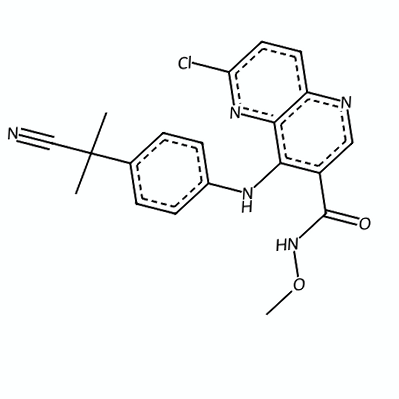 CONC(=O)c1cnc2ccc(Cl)nc2c1Nc1ccc(C(C)(C)C#N)cc1